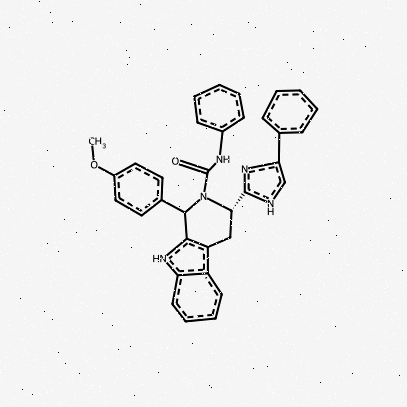 COc1ccc(C2c3[nH]c4ccccc4c3C[C@@H](c3nc(-c4ccccc4)c[nH]3)N2C(=O)Nc2ccccc2)cc1